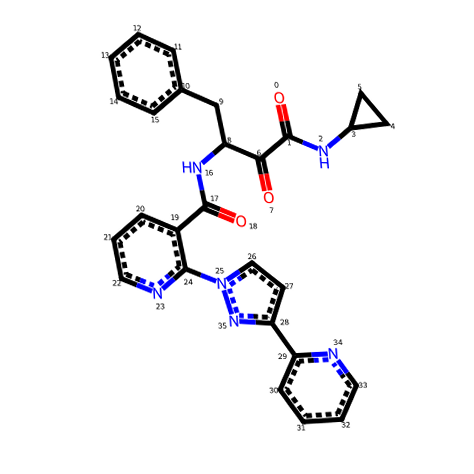 O=C(NC1CC1)C(=O)C(Cc1ccccc1)NC(=O)c1cccnc1-n1ccc(-c2ccccn2)n1